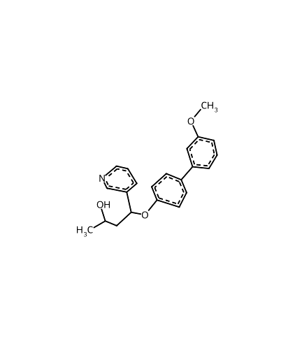 COc1cccc(-c2ccc(OC(CC(C)O)c3cccnc3)cc2)c1